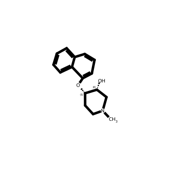 CN1CC[C@H](Oc2cccc3ccccc23)[C@H](O)C1